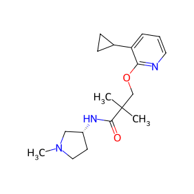 CN1CC[C@@H](NC(=O)C(C)(C)COc2ncccc2C2CC2)C1